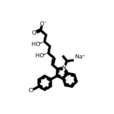 CC(C)n1c(/C=C/[C@H](O)C[C@H](O)CC(=O)[O-])c(-c2ccc(Cl)cc2)c2ccccc21.[Na+]